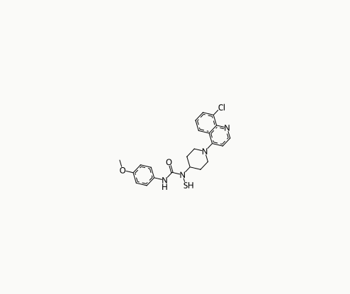 COc1ccc(NC(=O)N(S)C2CCN(c3ccnc4c(Cl)cccc34)CC2)cc1